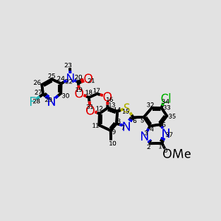 COc1cnc2c(-c3nc4c(C)cc5c(c4s3)OCC(OC(=O)N(C)c3ccc(F)nc3)O5)cc(Cl)cc2n1